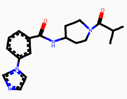 CC(C)C(=O)N1CCC(NC(=O)c2cccc(-n3ccnc3)c2)CC1